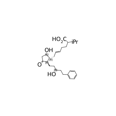 CC(C)C(CCC=CC[C@H]1[C@@H](O)CC(=O)[C@@H]1CC[C@@H](O)CCc1ccccc1)C(=O)O